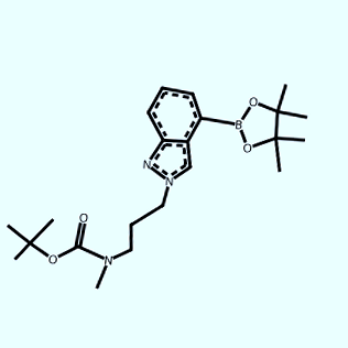 CN(CCCn1cc2c(B3OC(C)(C)C(C)(C)O3)cccc2n1)C(=O)OC(C)(C)C